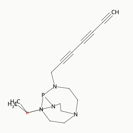 C#CC#CC#CCN1CCN2CCN(CC)P1N(CC)CC2